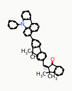 CC1(C)/C(=C/c2ccc3c(c2)C(C)(C)c2cc(-c4ccc5c6c(cccc46)-c4ccccc4N5c4ccccc4)ccc2-3)C(=O)c2ccccc21